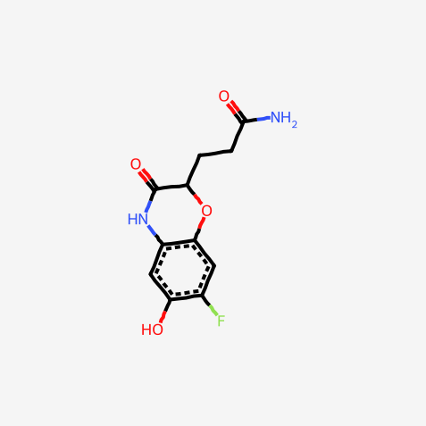 NC(=O)CCC1Oc2cc(F)c(O)cc2NC1=O